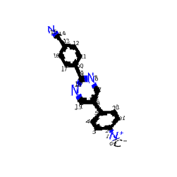 [C-]#[N+]c1ccc(-c2cnc(-c3ccc(C#N)cc3)nc2)cc1